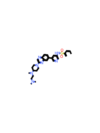 C=C(/C=C\C)S(=O)(=O)Nc1cncc(-c2ccc3ncc(N4CCC(N(C)CCN(C)C)CC4)nc3c2)c1